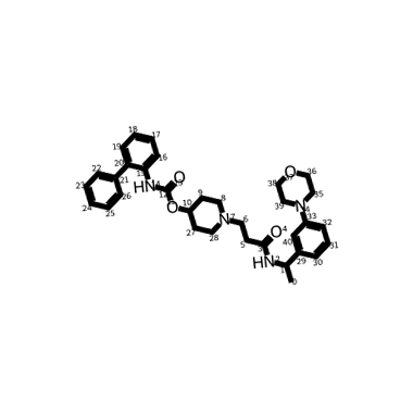 CC(NC(=O)CCN1CCC(OC(=O)Nc2ccccc2-c2ccccc2)CC1)c1cccc(N2CCOCC2)c1